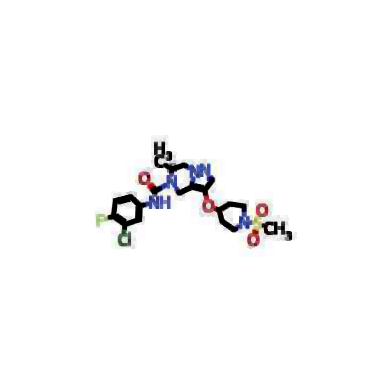 C[C@H]1Cn2ncc(OC3CCN(S(C)(=O)=O)CC3)c2CN1C(=O)Nc1ccc(F)c(Cl)c1